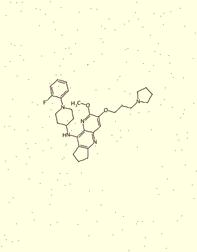 COc1nc2c(NC3CCN(c4ccccc4F)CC3)c3c(nc2cc1OCCCN1CCCC1)CCC3